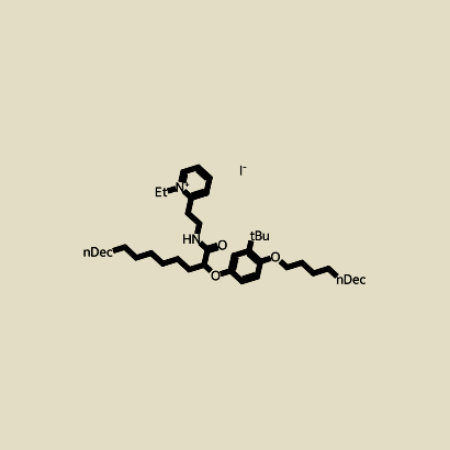 CCCCCCCCCCCCCCCCC(Oc1ccc(OCCCCCCCCCCCCCC)c(C(C)(C)C)c1)C(=O)NCCc1cccc[n+]1CC.[I-]